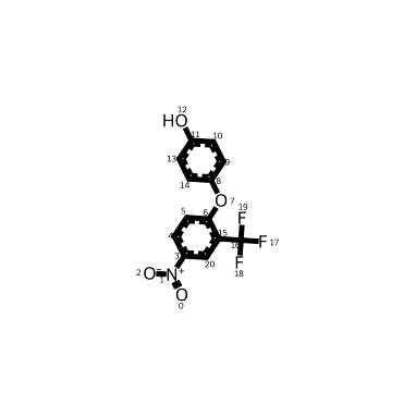 O=[N+]([O-])c1ccc(Oc2ccc(O)cc2)c(C(F)(F)F)c1